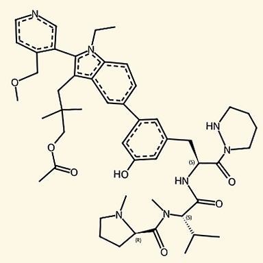 CCn1c(-c2cnccc2COC)c(CC(C)(C)COC(C)=O)c2cc(-c3cc(O)cc(C[C@H](NC(=O)[C@H](C(C)C)N(C)C(=O)[C@H]4CCCN4C)C(=O)N4CCCCN4)c3)ccc21